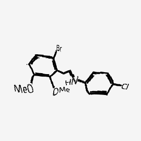 COc1[c]cc(Br)c(CNc2ccc(Cl)cc2)c1OC